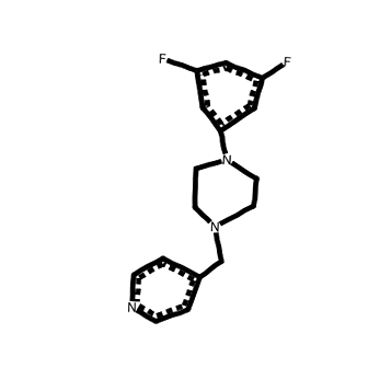 Fc1cc(F)cc(N2CCN(Cc3ccncc3)CC2)c1